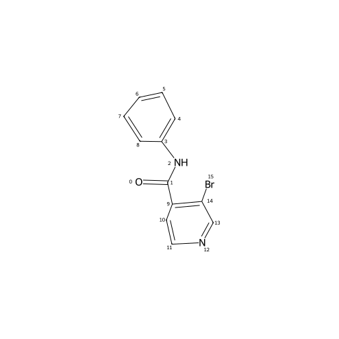 O=C(Nc1ccccc1)c1ccncc1Br